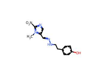 Cn1c(C=NNCCc2ccc(O)cc2)cnc1[N+](=O)[O-]